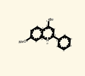 COc1ccc2c(C(C)(C)C)cc(-c3ccccc3)nc2c1